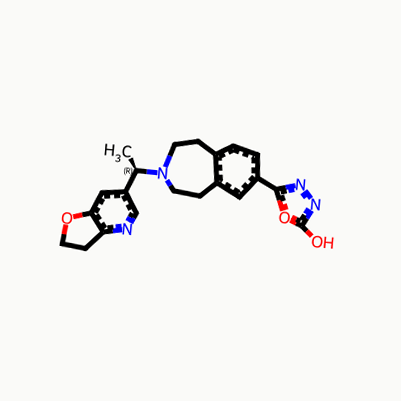 C[C@H](c1cnc2c(c1)OCC2)N1CCc2ccc(-c3nnc(O)o3)cc2CC1